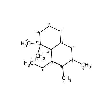 C[CH]C1C(C)C(C)CC2CCCC(C)(C)C21